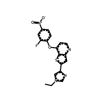 CCn1cnc(-c2cc3nccc(Oc4ccc([N+](=O)[O-])cc4F)c3s2)c1